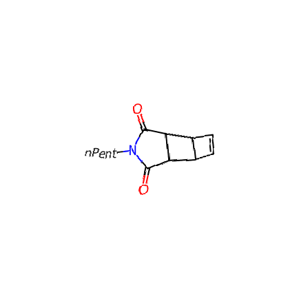 CCCCCN1C(=O)C2C3C=CC3C2C1=O